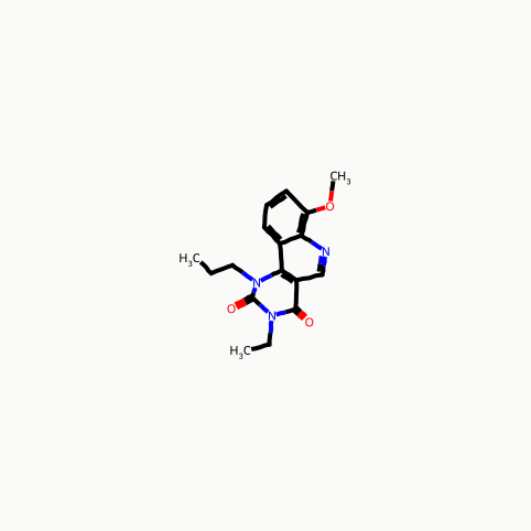 CCCn1c(=O)n(CC)c(=O)c2cnc3c(OC)cccc3c21